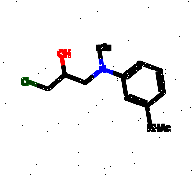 CCCCN(CC(O)CCl)c1cccc(NC(C)=O)c1